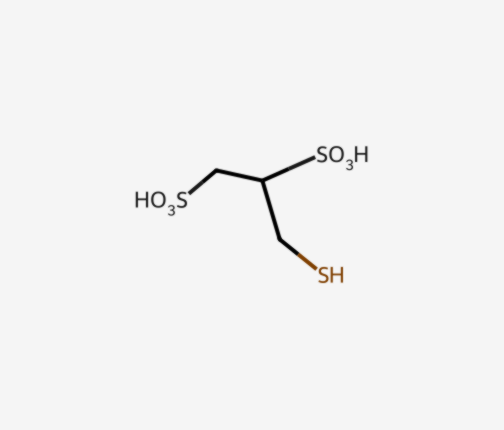 O=S(=O)(O)CC(CS)S(=O)(=O)O